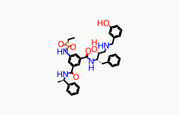 CCS(=O)(=O)Nc1cc(C(=O)N[C@@H](Cc2ccccc2)[C@H](O)CNCc2cccc(O)c2)cc(C(=O)N[C@H](C)c2ccccc2)c1